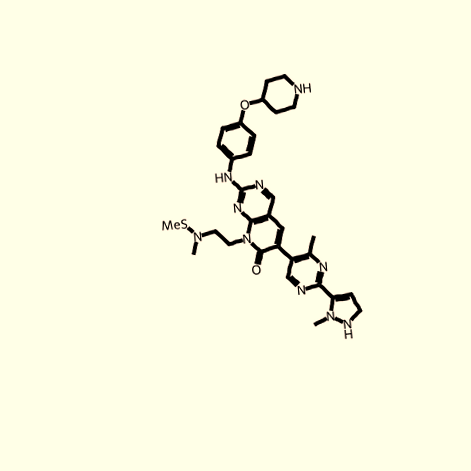 CSN(C)CCn1c(=O)c(-c2cnc(C3=CCNN3C)nc2C)cc2cnc(Nc3ccc(OC4CCNCC4)cc3)nc21